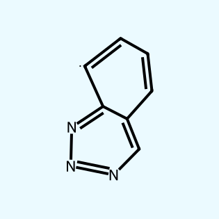 [c]1cccc2cnnnc12